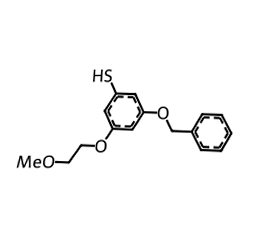 COCCOc1cc(S)cc(OCc2ccccc2)c1